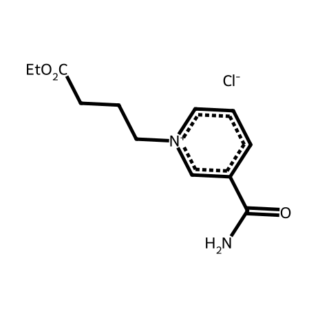 CCOC(=O)CCC[n+]1cccc(C(N)=O)c1.[Cl-]